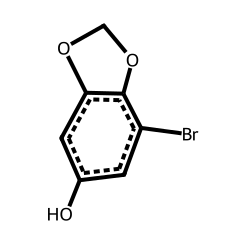 Oc1cc(Br)c2c(c1)OCO2